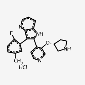 Cc1ccc(F)c(-c2c(-c3ccncc3O[C@@H]3CCNC3)[nH]c3cccnc23)c1.Cl